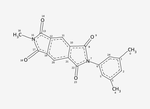 Cc1cc(C)cc(-n2c(=O)c3cc4c(=O)n(C)c(=O)c4cc3c2=O)c1